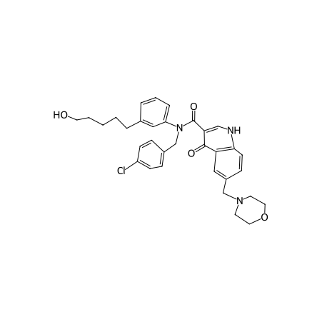 O=C(c1c[nH]c2ccc(CN3CCOCC3)cc2c1=O)N(Cc1ccc(Cl)cc1)c1cccc(CCCCCO)c1